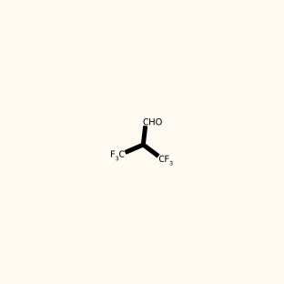 O=CC(C(F)(F)F)C(F)(F)F